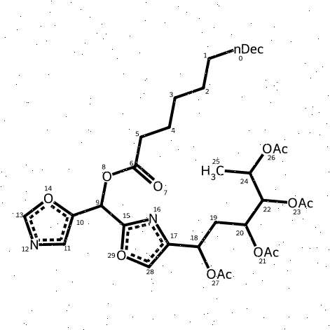 CCCCCCCCCCCCCCCC(=O)OC(c1cnco1)c1nc(C(CC(OC(C)=O)C(OC(C)=O)C(C)OC(C)=O)OC(C)=O)co1